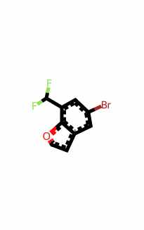 FC(F)c1cc(Br)cc2ccoc12